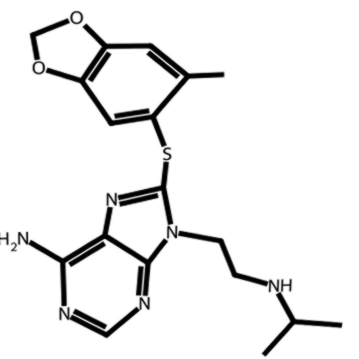 Cc1cc2c(cc1Sc1nc3c(N)ncnc3n1CCNC(C)C)OCO2